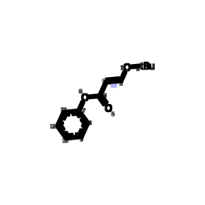 CC(C)(C)O/C=C/C(=O)Oc1ccccc1